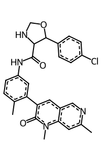 Cc1cc2c(cn1)cc(-c1cc(NC(=O)C3NCOC3c3ccc(Cl)cc3)ccc1C)c(=O)n2C